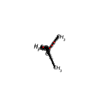 CCCCCCCCCCCCCCCCCC(=O)OC[C@H](COP(=O)(O)OCC[N+](C)(C)C)OC(=O)CCCCCCCCCCCCCCCCC